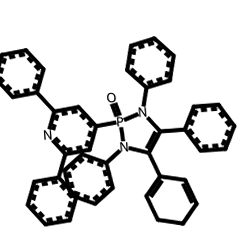 O=P1(c2cc(-c3ccccc3)nc(-c3ccccc3)c2)N(c2ccccc2)C(C2=CCCC=C2)=C(c2ccccc2)N1c1ccccc1